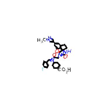 Cn1cc(-c2ccc3c(c2)CCC32NC(=O)N(CC(=O)N(Cc3ccc(F)cc3)[C@H]3CC[C@H](C(=O)O)CC3)C2=O)cn1